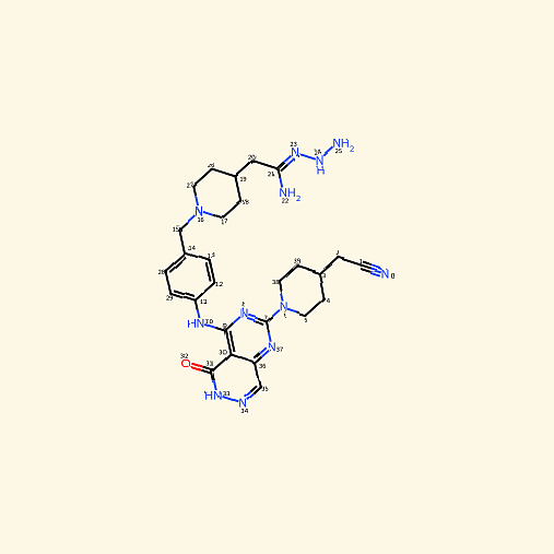 N#CCC1CCN(c2nc(Nc3ccc(CN4CCC(C/C(N)=N/NN)CC4)cc3)c3c(=O)[nH]ncc3n2)CC1